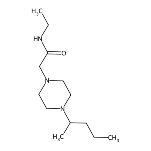 CCCC(C)N1CCN(CC(=O)NCC)CC1